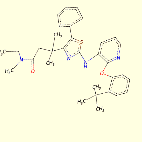 CCN(C)C(=O)CC(C)(C)c1nc(Nc2cccnc2Oc2ccccc2C(C)(C)C)sc1-c1ccccc1